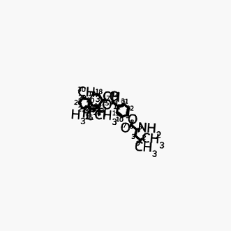 CC(C)C[C@H](N)C(=O)Oc1ccc(C(=O)O[C@]2(C)CC[C@@]34C[C@@H]2C(C)(C)[C@@H]3CC[C@H]4C)cc1